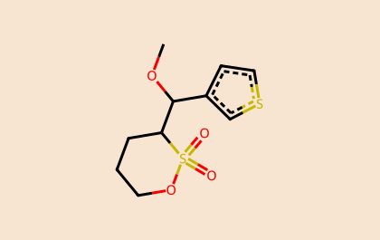 COC(c1ccsc1)C1CCCOS1(=O)=O